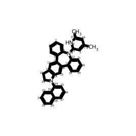 CC1=CC(N2c3ccccc3-c3cc4c(cc3-c3ccccc32)N(c2cccc3ccccc23)CC4)NC(C)=C1